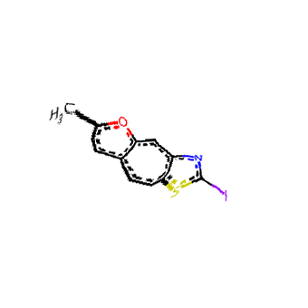 Cc1cc2cc3sc(I)nc3cc2o1